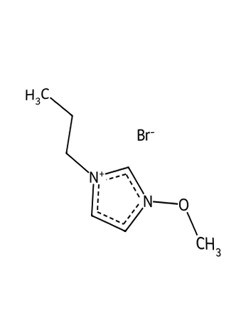 CCC[n+]1ccn(OC)c1.[Br-]